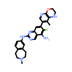 Cc1c(-c2cc3nc(Nc4ccc5c(c4)CCN(C)CC5)ncc3c(N)c2F)cnc2c1NCCO2